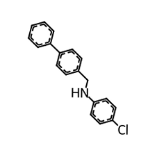 Clc1ccc(NCc2ccc(-c3ccccc3)cc2)cc1